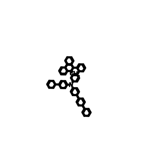 CC1C(C2=CC=CCC2C2=CCC(N(C3=CCC(C4=CCC(C5=CCCC=C5)C=C4)C=C3)C3=CC=C(C4CC=CCC4)CC3)C=C2)C2=C(CCC=C2)C2C=CC=CC21